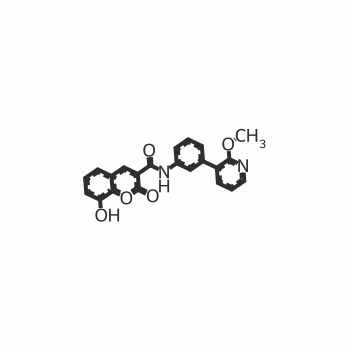 COc1ncccc1-c1cccc(NC(=O)c2cc3cccc(O)c3oc2=O)c1